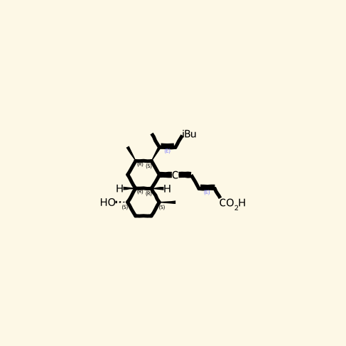 CCC(C)/C=C(\C)[C@H]1C(=C=C/C=C/C(=O)O)[C@H]2[C@@H](C[C@H]1C)[C@@H](O)CC[C@@H]2C